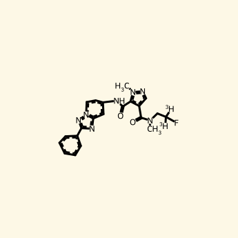 [3H]C([3H])(F)CN(C)C(=O)c1cnn(C)c1C(=O)Nc1ccn2nc(-c3ccccc3)nc2c1